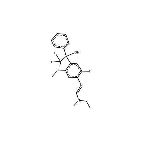 CCN(C)/C=N/c1cc(OC)c(C(O)(c2ccccc2)C(F)(F)F)cc1F